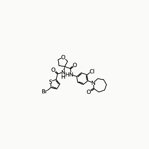 O=C(N[C@@]1(C(=O)Nc2ccc(N3CCCCCC3=O)c(Cl)c2)CCOC1)c1ccc(Br)s1